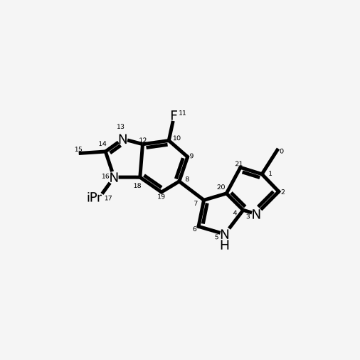 Cc1cnc2[nH]cc(-c3cc(F)c4nc(C)n(C(C)C)c4c3)c2c1